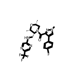 C[C@@H]1CN(C(=O)c2nn(C)cc2-c2ccc(F)cc2)[C@H](CNc2cnc(C(F)(F)F)cn2)[C@H](C)O1